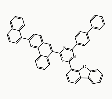 c1ccc(-c2ccc(-c3nc(-c4cc5ccc(-c6cccc7ccccc67)cc5c5ccccc45)nc(-c4cccc5c4oc4ccccc45)n3)cc2)cc1